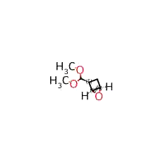 COC(OC)[C@H]1C[C@H]2O[C@@H]12